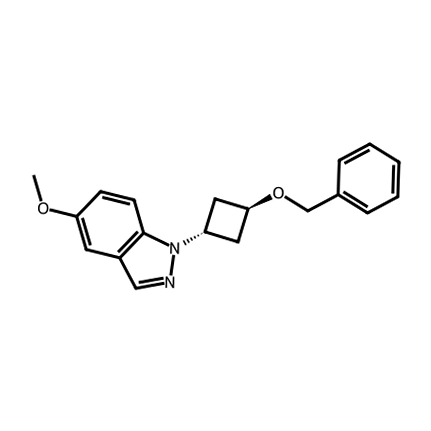 COc1ccc2c(cnn2[C@H]2C[C@H](OCc3ccccc3)C2)c1